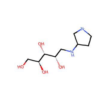 OC[C@H](O)[C@H](O)[C@@H](O)CNC1CC[N]C1